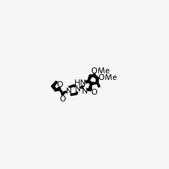 COc1cc2[nH]c(N3CCN(C(=O)c4ccco4)CC3)nc(=O)c2c(C)c1OC